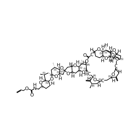 C=CCOC(=O)NC[C@@H]1CC[C@@H]2O[C@@]3(C[C@H](C)[C@@H]2O1)C[C@H](C)[C@@H]1O[C@]2(C[C@@H]1O3)C[C@H]1O[C@H]3[C@H](C)[C@H]4OC(=O)C[C@H]5CC[C@@H]6O[C@@H]7[C@H]8O[C@@H]9C[C@](CC[C@H]%10CC(=C)[C@H](CC[C@H]%11C[C@@H](C)C(=C)[C@@H](C[C@@H]4O[C@H]3C[C@H]1O2)O%11)O%10)(O[C@H]8[C@H]6O5)O[C@H]79